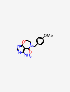 COc1ccc(CN2CCOc3ncnc(N)c3C2=O)cc1